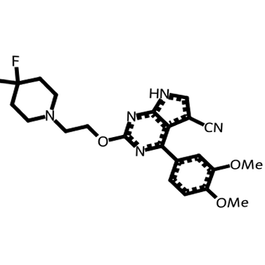 COc1ccc(-c2nc(OCCN3CCC(F)(F)CC3)nc3[nH]cc(C#N)c23)cc1OC